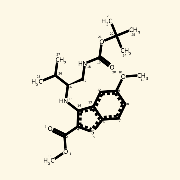 COC(=O)c1sc2ccc(OC)cc2c1N[C@H](CNC(=O)OC(C)(C)C)C(C)C